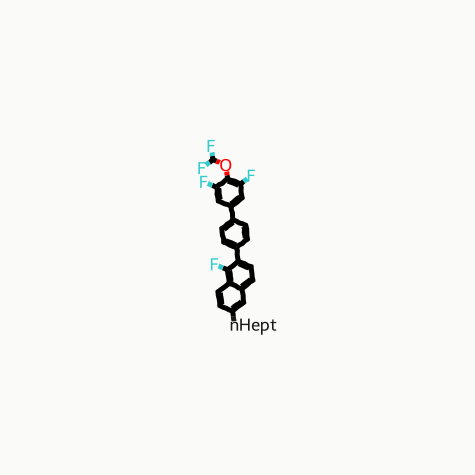 CCCCCCCc1ccc2c(F)c(-c3ccc(-c4cc(F)c(OC(F)F)c(F)c4)cc3)ccc2c1